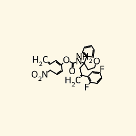 C=C/C=C(\C=C/C[N+](=O)[O-])OC(=O)N(N)C1(CC(=C)c2cc(F)ccc2F)CCOc2ccccc21